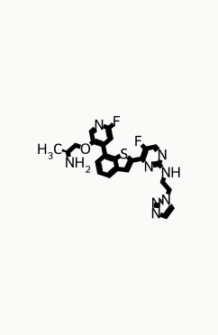 C[C@H](N)COc1cnc(F)cc1-c1cccc2cc(-c3nc(NCCn4ccnn4)ncc3F)sc12